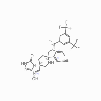 C#C/C=C(\C=C/C)[C@]1(CO[C@H](C)C2C=C(C(F)(F)F)C=C(C(F)(F)F)C2)CC[C@@](/C=N/O)(n2cn[nH]c2=O)CN1